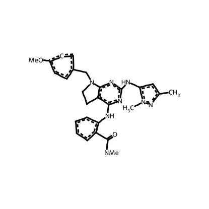 CNC(=O)c1ccccc1Nc1nc(Nc2cc(C)nn2C)nc2c1CCN2Cc1ccc(OC)cc1